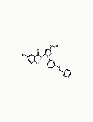 CCOC(=O)c1cc(NC(=O)c2cc(Br)ccc2Cl)n(-c2cccc(OCc3ccccc3)c2)n1